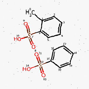 Cc1ccccc1S(=O)(=O)O.O=S(=O)(O)c1ccccc1